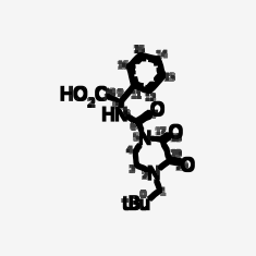 CC(C)(C)CN1CCN(C(=O)N[C@@H](C(=O)O)c2ccccc2)C(=O)C1=O